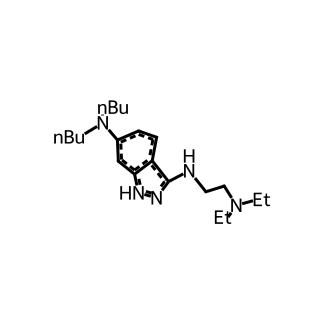 CCCCN(CCCC)c1ccc2c(NCCN(CC)CC)n[nH]c2c1